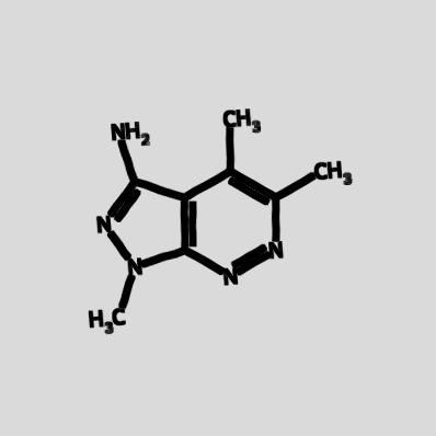 Cc1nnc2c(c(N)nn2C)c1C